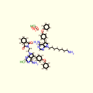 Cl.Cl.NCCCCCCCCn1cc(-c2ccc(Oc3ccccc3)cc2)c2c(N)ncnc21.Nc1ncnc2c1c(-c1ccc(Oc3ccccc3)cc1)cn2CCN1C(=O)c2ccccc2C1=O.O.O